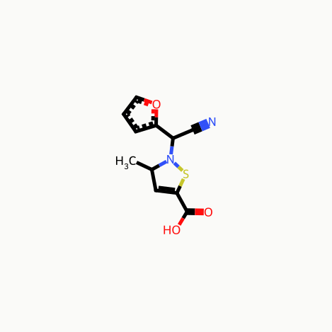 CC1C=C(C(=O)O)SN1C(C#N)c1ccco1